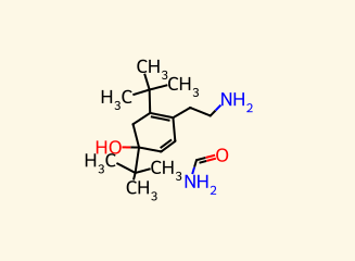 CC(C)(C)C1=C(CCN)C=CC(O)(C(C)(C)C)C1.NC=O